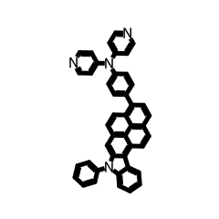 c1ccc(-n2c3ccccc3c3c4ccc5ccc(-c6ccc(N(c7ccncc7)c7ccncc7)cc6)c6ccc(cc32)c4c56)cc1